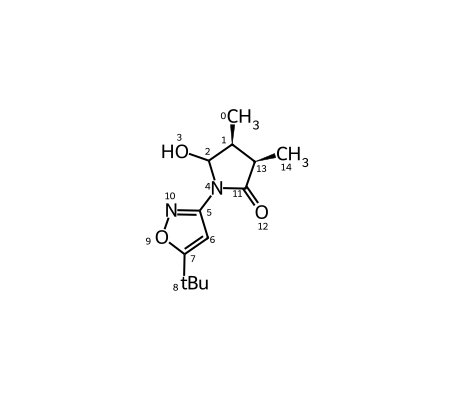 C[C@@H]1C(O)N(c2cc(C(C)(C)C)on2)C(=O)[C@@H]1C